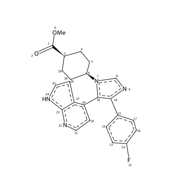 COC(=O)[C@H]1CC[C@@H](n2cnc(-c3ccc(F)cc3)c2-c2ccnc3[nH]ccc23)CC1